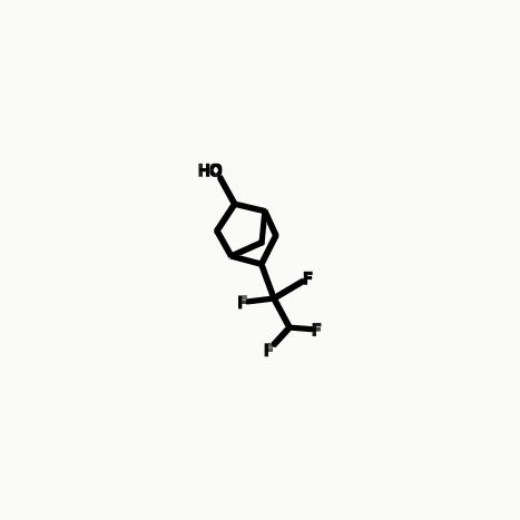 OC1CC2CC1CC2C(F)(F)C(F)F